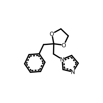 c1ccc(CC2(Cn3ccnc3)OCCO2)cc1